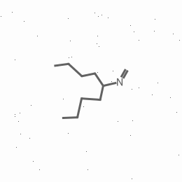 C=NC(CCCC)CCCC